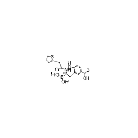 O=C(Cc1cccs1)N[C@@H](Cc1cc(C(=O)O)ccc1O)B(O)O